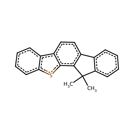 CC1(C)c2ccccc2-c2ccc3c(sc4ccccc43)c21